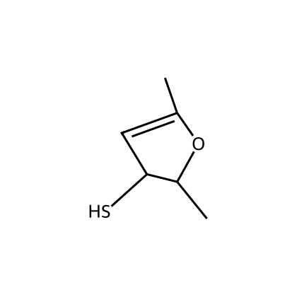 CC1=CC(S)C(C)O1